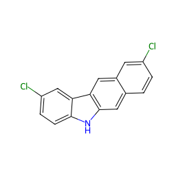 Clc1ccc2cc3[nH]c4ccc(Cl)cc4c3cc2c1